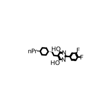 CCC[C@H]1CC[C@H](CCc2c(O)nc(-c3ccc(F)c(F)c3)nc2O)CC1